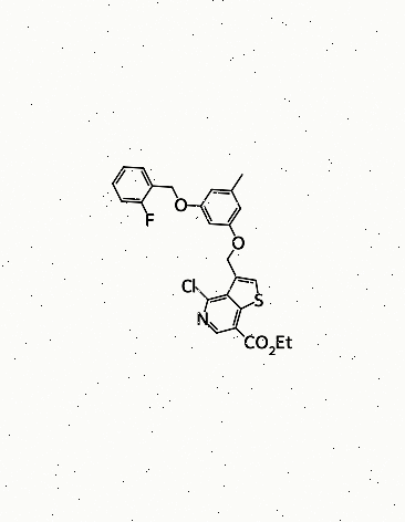 CCOC(=O)c1cnc(Cl)c2c(COc3cc(C)cc(OCc4ccccc4F)c3)csc12